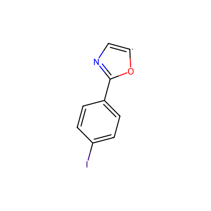 Ic1ccc(-c2nc[c]o2)cc1